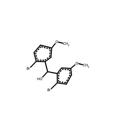 COc1ccc(Br)c(C(O)c2cc(OC)ccc2Br)c1